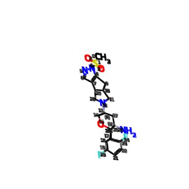 CS(=O)(=O)n1ncc2c1CC1CN([C@H]3CO[C@H](c4cc(F)ccc4F)[C@@H](N)C3)CC21